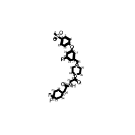 CS(=O)(=O)c1ccc(Oc2cc(F)cc(CN3CCN(C(=O)CNC(=O)CC4CCC(F)(F)CC4)CC3)c2)cc1